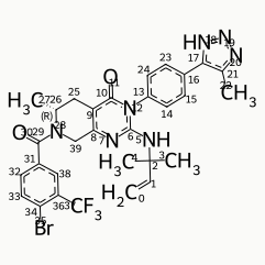 C=CC(C)(C)Nc1nc2c(c(=O)n1-c1ccc(-c3[nH]nnc3C)cc1)C[C@@H](C)N(C(=O)c1ccc(Br)c(C(F)(F)F)c1)C2